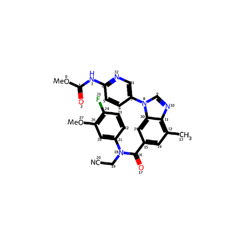 COC(=O)Nc1ccc(-n2cnc3c(C)cc(C(=O)N(CC#N)c4ccc(F)c(OC)c4)cc32)cn1